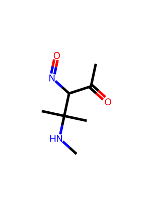 CNC(C)(C)C(N=O)C(C)=O